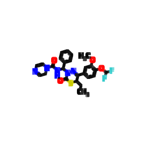 CCC1SC(=O)N(C(NC(=O)N2C=CN=CC2)c2ccccc2)N=C1c1ccc(OC(F)F)c(OC)c1